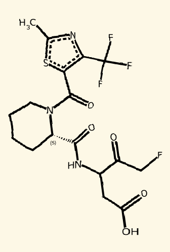 Cc1nc(C(F)(F)F)c(C(=O)N2CCCC[C@H]2C(=O)NC(CC(=O)O)C(=O)CF)s1